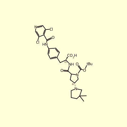 CC1(C)CCCN([C@@H]2CC(C(=O)N[C@@H](Cc3ccc(NC(=O)c4c(Cl)cncc4Cl)cc3)C(=O)O)N(C(=O)OC(C)(C)C)C2)C1